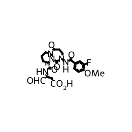 COc1ccc(C(=O)NN2CCC(=O)N3CCC[C@@H](C(=O)N[C@H](C=O)CC(=O)O)N3C2=O)cc1F